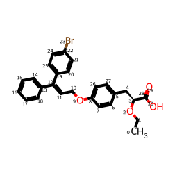 CCO[C@@H](Cc1ccc(OC/C=C(/c2ccccc2)c2ccc(Br)cc2)cc1)C(=O)O